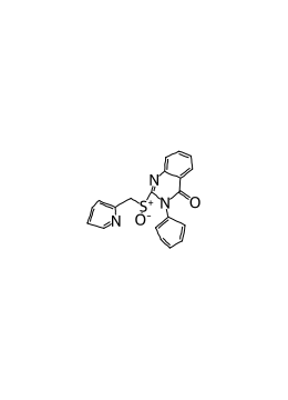 O=c1c2ccccc2nc([S+]([O-])Cc2ccccn2)n1-c1ccccc1